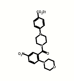 CCOC(=O)c1ccc(N2CCN(C(=O)c3cc([N+](=O)[O-])ccc3N3CCOCC3)CC2)cc1